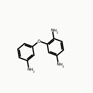 Nc1cccc(Oc2cc(N)ccc2N)c1